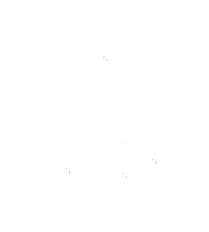 CN(C)C(=O)c1cccc(Oc2cc(COP(N(C)C)N(C)C)ccc2[N+](=O)[O-])c1